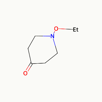 CCON1CCC(=O)CC1